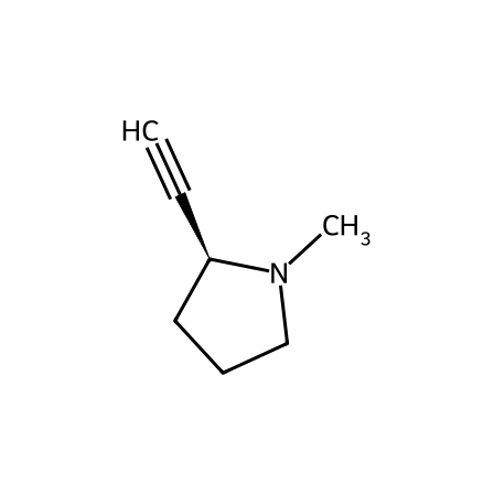 C#C[C@@H]1CCCN1C